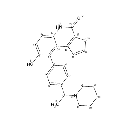 CC(c1ccc(-c2c(O)ccc3[nH]c(=O)c4sccc4c23)cc1)N1CCCCC1